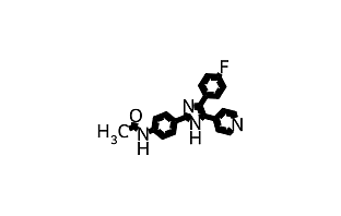 CC(=O)Nc1ccc(-c2nc(-c3ccc(F)cc3)c(-c3ccncc3)[nH]2)cc1